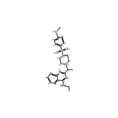 CCNc1nc(C(C)N2CCN(S(=O)(=O)c3ccc(OC)cc3)CC2)nc2ccccc12